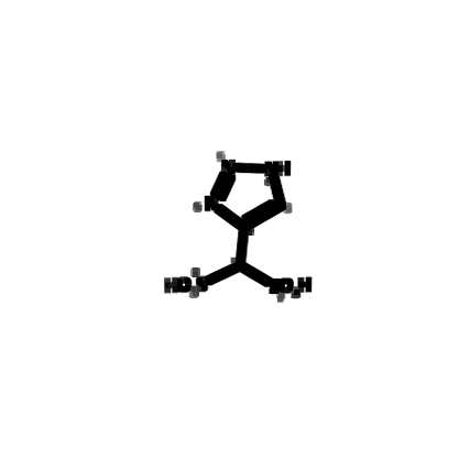 O=S(=O)(O)C(c1c[nH]nn1)S(=O)(=O)O